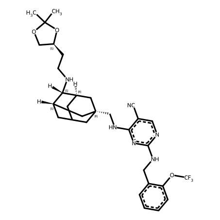 CC1(C)OC[C@H](CCN[C@@H]2[C@@H]3CC4C[C@H]2C[C@](CNc2nc(NCc5ccccc5OC(F)(F)F)ncc2C#N)(C4)C3)O1